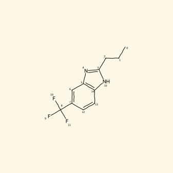 CCCc1nc2cc(C(F)(F)F)ccc2[nH]1